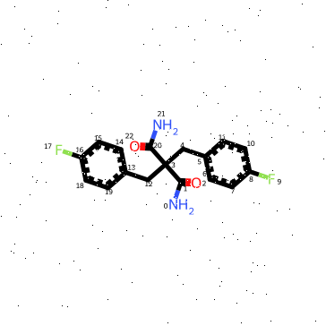 NC(=O)C(Cc1ccc(F)cc1)(Cc1ccc(F)cc1)C(N)=O